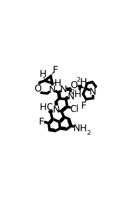 [2H]C([2H])(Oc1nc(N2CCOC[C@H]3[C@H](F)[C@H]32)c2cnc(-c3cc(N)cc4ccc(F)c(C#C)c34)c(Cl)c2n1)[C@@]12CCCN1C[C@H](F)C2